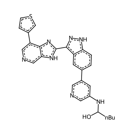 CCCCC(O)Nc1cncc(-c2ccc3[nH]nc(-c4nc5c(-c6ccsc6)cncc5[nH]4)c3c2)c1